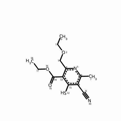 CCOCc1nc(C)c(C#N)c(S)c1C(=O)OCC